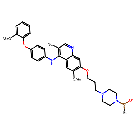 CC[S+]([O-])N1CCN(CCCOc2cc3ncc(C#N)c(Nc4ccc(Oc5ccccc5OC)cc4)c3cc2OC)CC1